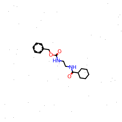 O=C(NCCNC(=O)C1CCCCC1)OCc1ccccc1